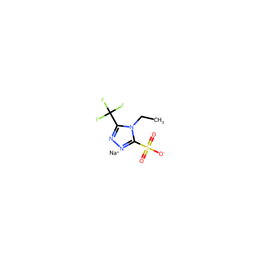 CCn1c(C(F)(F)F)nnc1S(=O)(=O)[O-].[Na+]